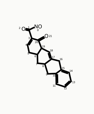 O=NC(=O)C1=CCC2CC3Cc4ccccc4CC3=CC2C1=O